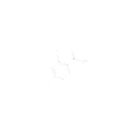 CNC(=O)c1ccc([N+](=O)[O-])cc1S